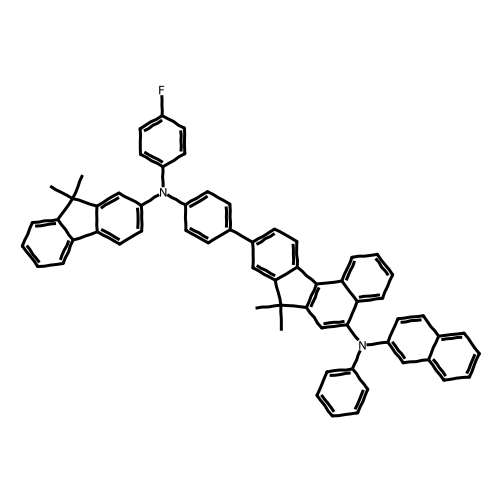 CC1(C)c2ccccc2-c2ccc(N(c3ccc(F)cc3)c3ccc(-c4ccc5c(c4)C(C)(C)c4cc(N(c6ccccc6)c6ccc7ccccc7c6)c6ccccc6c4-5)cc3)cc21